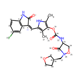 Cc1[nH]c(/C=C2\C(=O)Nc3ccc(F)cc32)c(C)c1OC(=O)NC1CON(C[C@H]2CCOC2)C1=O